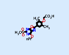 CCCOc1nc(S(C)(=O)=O)nc2oc(-c3cc(C)c(OCC(=O)O)c(C)c3)nc12